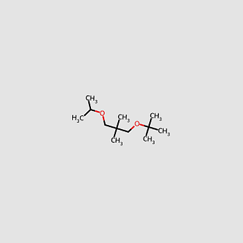 CC(C)OCC(C)(C)COC(C)(C)C